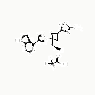 Cc1noc(C2CC(CC#N)(n3cc(-c4ncnc5[nH]ccc45)cn3)C2)n1.O=C(O)C(F)(F)F